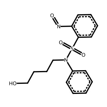 O=Nc1ccccc1S(=O)(=O)N(CCCCO)c1ccccc1